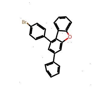 Brc1ccc(-c2cc(-c3ccccc3)cc3oc4ccccc4c23)cc1